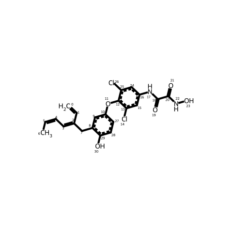 C=C/C(=C\C=C/C)Cc1cc(Oc2c(Cl)cc(NC(=O)C(=O)NO)cc2Cl)ccc1O